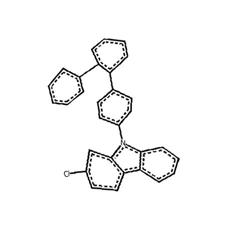 Clc1ccc2c3ccccc3n(-c3ccc(-c4ccccc4-c4ccccc4)cc3)c2c1